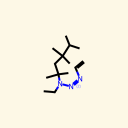 C=C/N=N\N(CC)C(C)(C)CC(C)(C)C(C)C